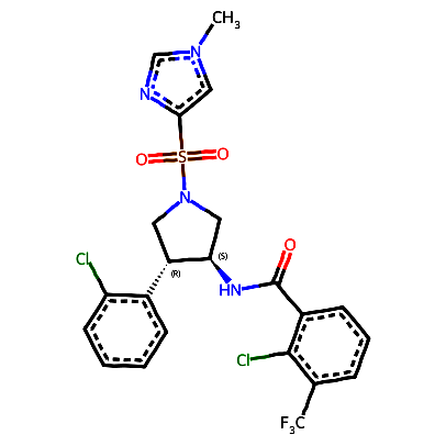 Cn1cnc(S(=O)(=O)N2C[C@@H](NC(=O)c3cccc(C(F)(F)F)c3Cl)[C@H](c3ccccc3Cl)C2)c1